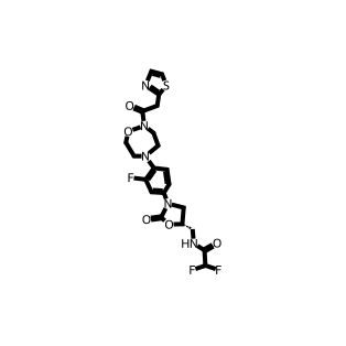 O=C(NC[C@H]1CN(c2ccc(N3CCON(C(=O)Cc4nccs4)CC3)c(F)c2)C(=O)O1)C(F)F